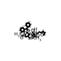 CO[C@@]1(NC(=O)Cc2ccco2)C(=O)N2C(C(=O)OC(c3ccccc3)c3ccccc3)=C(COC(C)=O)CS[C@@H]21